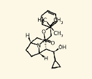 CC(C)(C)OC(=O)N1[C@@H]2CC[C@H]1[C@@H]([C@@H](O)C1CC1)N(Cc1ccccc1)C2